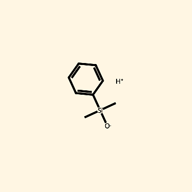 C[Si](C)([O])c1ccccc1.[H+]